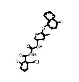 Cc1cc(NC(=O)NC(=O)c2c(F)cccc2Cl)cnc1Oc1ccc(Cl)c2ccccc12